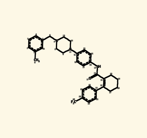 Cc1cccc(CN2CCN(c3ccc(NC(=O)C4=C(c5ccc(C(F)(F)F)cc5)CCCC4)cc3)CC2)c1